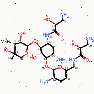 CN[C@@H]1[C@@H](O)[C@@H](O[C@@H]2[C@@H](O)[C@H](O[C@H]3OC(CNC(=O)C(O)CN)=CC[C@H]3N)[C@@H](N)C[C@H]2NC(=O)[C@@H](O)CN)OC[C@]1(C)O